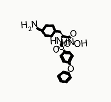 NCC1CCC(C[C@H](NS(=O)(=O)c2ccc(Oc3ccccc3)cc2)C(=O)NO)CC1